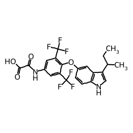 CCC(C)c1c[nH]c2ccc(Oc3c(C(F)(F)F)cc(NC(=O)C(=O)O)cc3C(F)(F)F)cc12